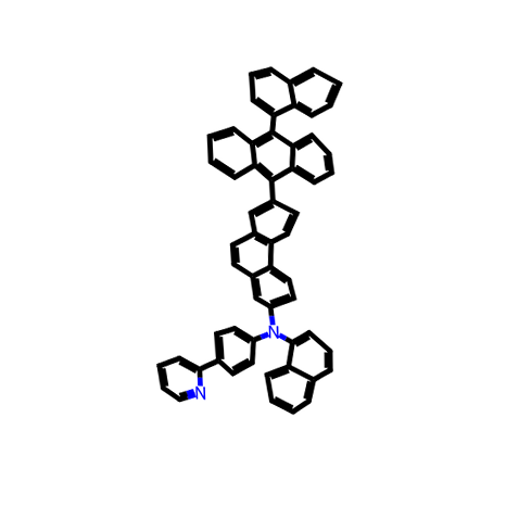 c1ccc(-c2ccc(N(c3ccc4c(ccc5cc(-c6c7ccccc7c(-c7cccc8ccccc78)c7ccccc67)ccc54)c3)c3cccc4ccccc34)cc2)nc1